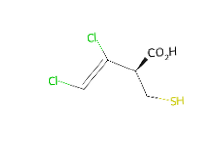 O=C(O)[C@@H](CS)/C(Cl)=C/Cl